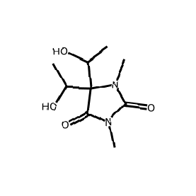 CC(O)C1(C(C)O)C(=O)N(C)C(=O)N1C